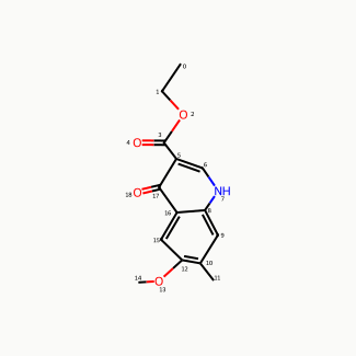 CCOC(=O)c1c[nH]c2cc(C)c(OC)cc2c1=O